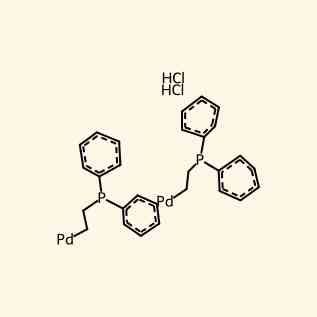 Cl.Cl.[Pd][CH2]CP(c1ccccc1)c1ccccc1.[Pd][CH2]CP(c1ccccc1)c1ccccc1